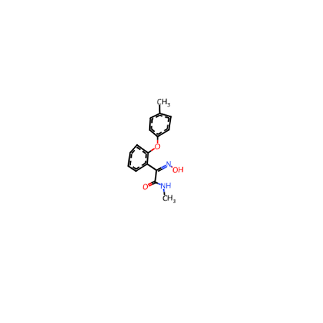 CNC(=O)C(=NO)c1ccccc1Oc1ccc(C)cc1